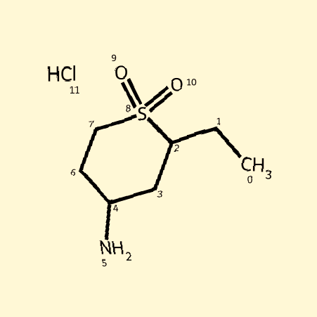 CCC1CC(N)CCS1(=O)=O.Cl